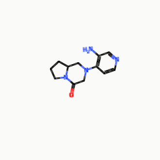 Nc1cnccc1N1CC(=O)N2CCCC2C1